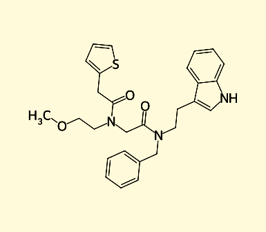 COCCN(CC(=O)N(CCc1c[nH]c2ccccc12)Cc1ccccc1)C(=O)Cc1cccs1